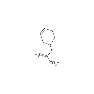 C=C(CC1CC=CCC1)C(=O)O